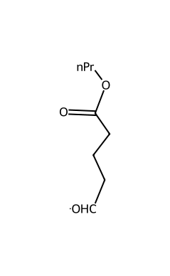 CCCOC(=O)CCC[C]=O